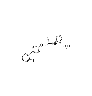 O=C(COc1ccc(-c2ccccc2F)cn1)Nc1cscc1C(=O)O